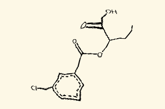 CCC(OC(=O)c1cccc(Cl)c1)C(=O)O